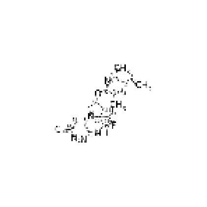 C=Cc1cc(C)c(O[C@H]2CN3c4cc(Cl)nnc4NCC3(C(F)F)C2)nc1C